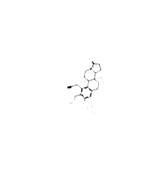 COCc1c(OS(N)(=O)=O)cc2c(c1CC#N)[C@H]1CC[C@]3(C)C(=O)CC[C@H]3[C@@H]1CC2